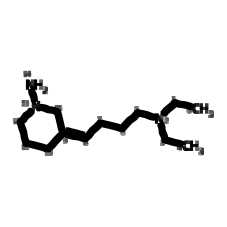 CCN(CC)CCC/C=C1/CCCN(N)C1